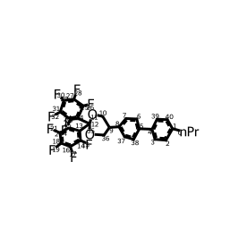 CCCc1ccc(-c2ccc(C3COC(c4c(F)c(F)c(F)c(F)c4F)(c4c(F)c(F)c(F)c(F)c4F)OC3)cc2)cc1